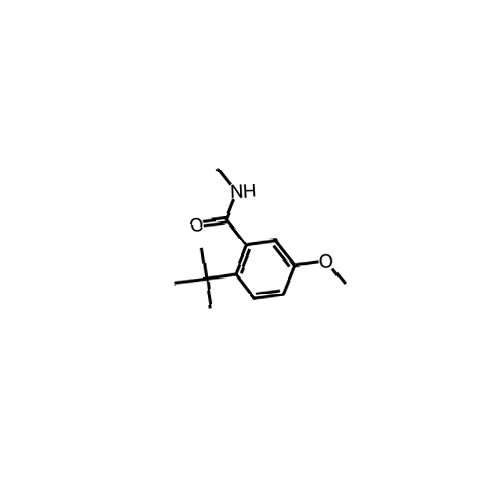 CNC(=O)c1cc(OC)ccc1C(C)(C)C